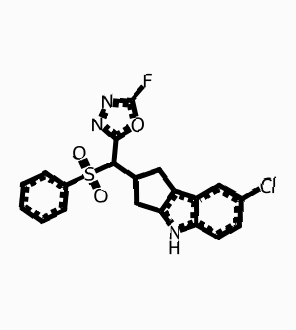 O=S(=O)(c1ccccc1)C(c1nnc(F)o1)C1Cc2[nH]c3ccc(Cl)cc3c2C1